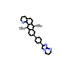 CC(C)(C)c1c2cc(-c3ccc(-c4cn5cccnc5n4)cc3)ccc2c(C(C)(C)C)c2c1ccc1cccnc12